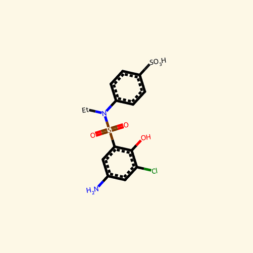 CCN(c1ccc(S(=O)(=O)O)cc1)S(=O)(=O)c1cc(N)cc(Cl)c1O